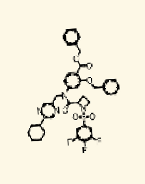 O=C(OCc1ccccc1)c1ccc(N(Cc2cnc(C3CCCCC3)cn2)C(=O)[C@H]2CCN2S(=O)(=O)c2cc(F)c(F)c(F)c2)cc1OCc1ccccc1